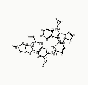 C=CC(=O)Nc1cc(Nc2ncc(-c3cccs3)c(-c3cn(C4CC4)c4ccccc34)n2)c(OC)cc1N1CC2CN(C)CC2C1